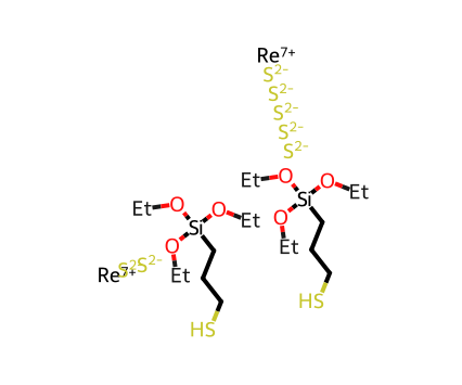 CCO[Si](CCCS)(OCC)OCC.CCO[Si](CCCS)(OCC)OCC.[Re+7].[Re+7].[S-2].[S-2].[S-2].[S-2].[S-2].[S-2].[S-2]